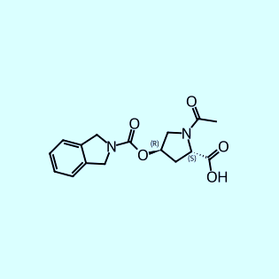 CC(=O)N1C[C@H](OC(=O)N2Cc3ccccc3C2)C[C@H]1C(=O)O